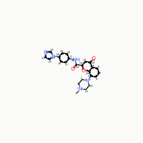 CN1CCN(c2cccc3c(=O)cc(C(=O)Nc4ccc(-n5ccnc5)cc4)oc23)CC1